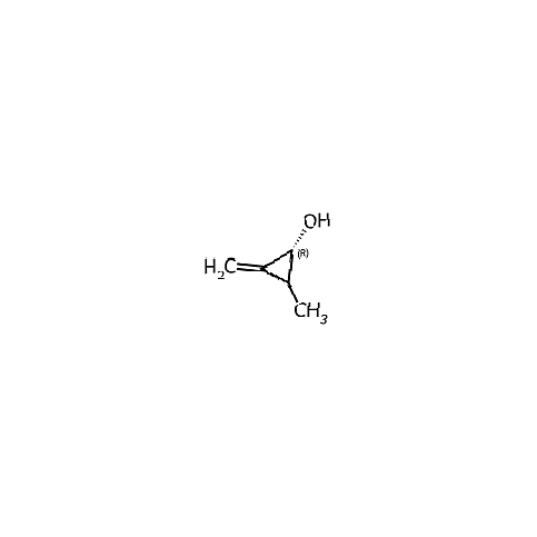 C=C1C(C)[C@H]1O